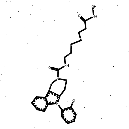 O=C(CCCCCCNC(=O)N1CCc2c(c3ccccc3n2-c2ccccc2Cl)C1)NO